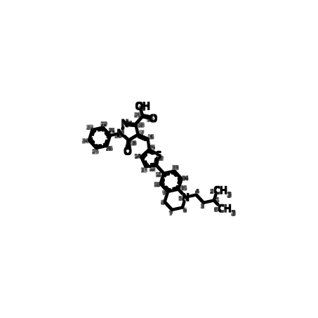 CC(C)CCN1CCCc2cc(-c3ccc(/C=C4\C(=O)N(c5ccccc5)N=C4C(=O)O)s3)ccc21